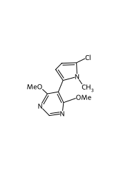 COc1ncnc(OC)c1-c1ccc(Cl)n1C